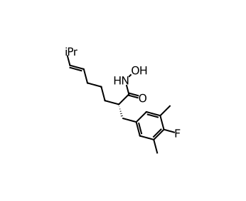 Cc1cc(C[C@H](CCCC=CC(C)C)C(=O)NO)cc(C)c1F